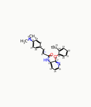 CN(C)c1ccc(/C=C/C(=O)Nc2cccnc2Oc2ccccc2C(C)(C)C)cc1